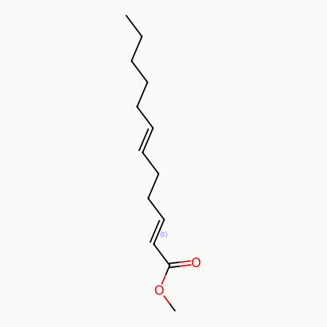 CCCCCC=CCC/C=C/C(=O)OC